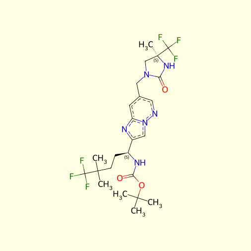 CC(C)(C)OC(=O)N[C@@H](CCC(C)(C)C(F)(F)F)c1cn2ncc(CN3C[C@@](C)(C(F)(F)F)NC3=O)cc2n1